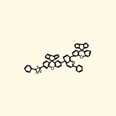 c1ccc(-c2ccc3c(-c4ccc5c(c4)C4(c6ccc(-c7nnc(-c8ccccc8)s7)cc6O5)c5ccccc5-c5ccccc54)ccc(-c4ccc5c(c4)Oc4ccccc4C54c5ccccc5-c5ccccc54)c3n2)cc1